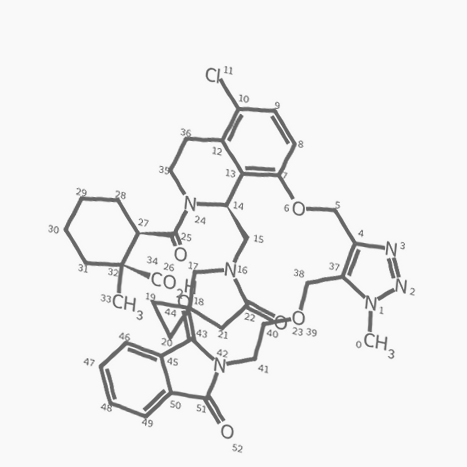 Cn1nnc(COc2ccc(Cl)c3c2[C@@H](CN2CC4(CC4)CC2=O)N(C(=O)[C@@H]2CCCC[C@]2(C)C(=O)O)CC3)c1COCCN1C(=O)c2ccccc2C1=O